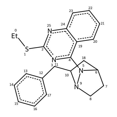 CCSc1nc(N2C3CCN2C(Cc2ccccc2)C3)c2ccccc2n1